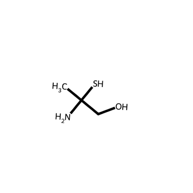 CC(N)(S)CO